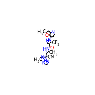 C=N/C(=C(C#N)\C=C(/C)NC(=O)c1cnn(-c2ccnc3cc(C)oc23)c1C(F)(F)F)n1nccn1